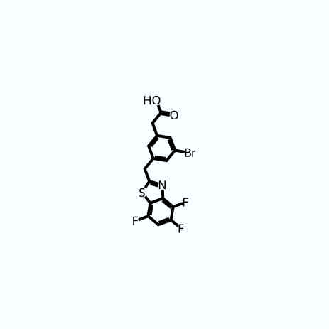 O=C(O)Cc1cc(Br)cc(Cc2nc3c(F)c(F)cc(F)c3s2)c1